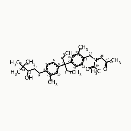 CCC(CC)(c1ccc(CCC(O)C(C)(C)C)c(C)c1)c1ccc(CN(CC(C)=O)C(C)=O)c(C)c1